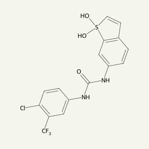 O=C(Nc1ccc(Cl)c(C(F)(F)F)c1)Nc1ccc2c(c1)S(O)(O)C=C2